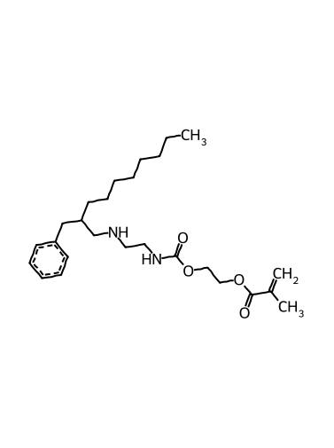 C=C(C)C(=O)OCCOC(=O)NCCNCC(CCCCCCCC)Cc1ccccc1